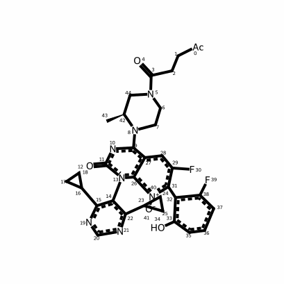 CC(=O)CCC(=O)N1CCN(c2nc(=O)n(-c3c(C4CC4)ncnc3C3CC3)c3c2cc(F)c(-c2c(O)cccc2F)[n+]3[O-])[C@@H](C)C1